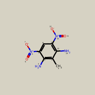 Cc1c(N)c([N+](=O)[O-])cc([N+](=O)[O-])c1N